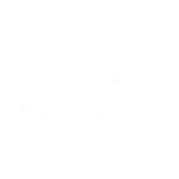 COC(=O)c1ccc2oc(-c3ccc4ccc(Cl)cc4n3)c(O)c2c1